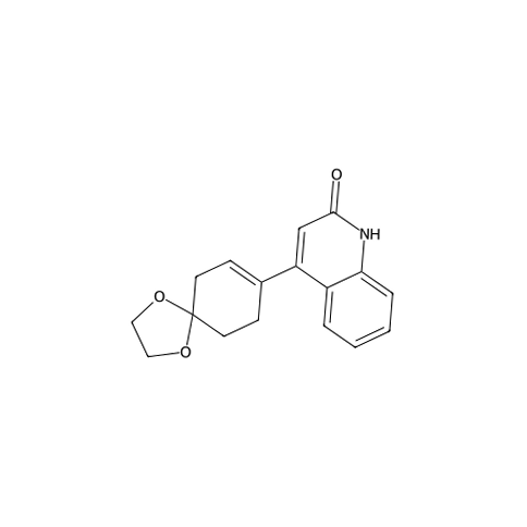 O=c1cc(C2=CCC3(CC2)OCCO3)c2ccccc2[nH]1